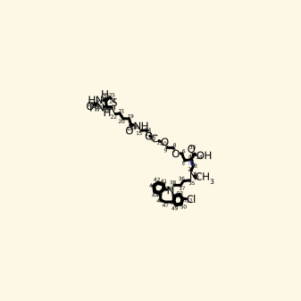 CN(C/C=C(\CCOCCOCCOCCNC(=O)CCCC[C@@H]1SC[C@@H]2NC(=O)N[C@@H]21)C(=O)O)CCCCN1c2ccccc2CCc2ccc(Cl)cc21